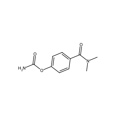 CN(C)C(=O)c1ccc(OC(N)=O)cc1